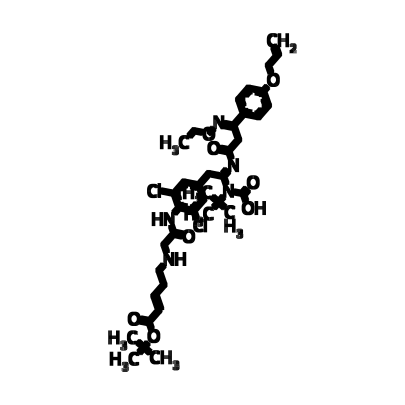 C=CCOc1ccc(C(CC(=O)N=C(Cc2cc(Cl)c(NC(=O)CNCCC=CC(=O)OC(C)(C)C)c(Cl)c2)N(C(=O)O)C(C)(C)C)=NOCC)cc1